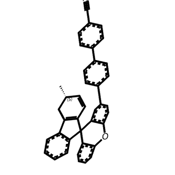 C[C@@H]1C=CC2=C(C1)c1ccccc1C21c2ccccc2Oc2ccc(-c3ccc(-c4ccc(C#N)cc4)cc3)cc21